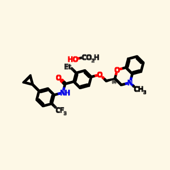 CCc1cc(OC[C@@H]2CN(C)c3ccccc3O2)ccc1C(=O)Nc1cc(C2CC2)ccc1C(F)(F)F.O=C(O)O